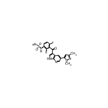 CCCS(=O)(=O)Nc1ccc(F)c(C(=O)c2c[nH]c3ncc(-c4cc(C)nn4C)cc23)c1F